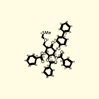 CSCOCC1C(=O)[C@H](Oc2ccc(-c3ccccc3)cc2)C(OC(=O)c2ccccc2)C(OC(=O)c2ccccc2)[C@@H]1OC(=O)c1ccccc1